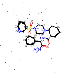 NC(=O)[C@@H](NC(=O)[C@H]1CCCC[C@@H]1N1CCN(S(=O)(=O)c2cccnc2)CC1)c1ccccc1